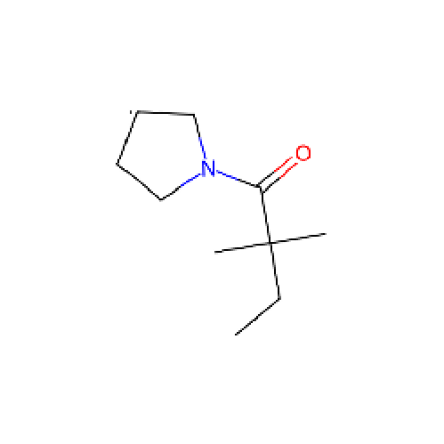 CCC(C)(C)C(=O)N1C[CH]CC1